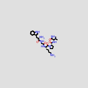 CC(C)[C@H](NC(=O)[C@@H]1CCCN1C(=O)[C@H](CCCCN)NC(=O)CNC(=O)[C@@H](N)Cc1c[nH]c2ccccc12)C(N)=O